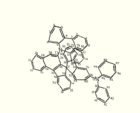 c1ccc(-c2ccccc2N(c2ccccc2)c2cc3ccccc3c3c2C2(c4ccccc4-c4cc(N(c5ccccc5)c5ccccc5)ccc42)c2ccccc2-3)cc1